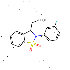 O=C(O)CC1c2ccccc2S(=O)(=O)N1c1cccc(F)c1